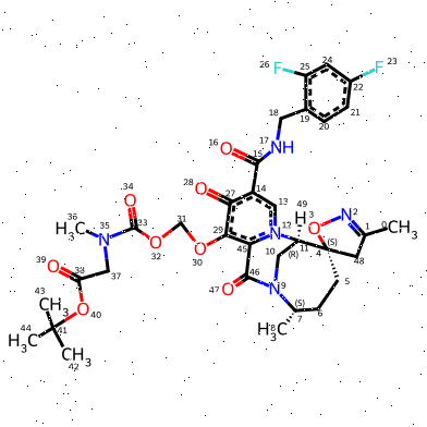 CC1=NO[C@@]2(CC[C@H](C)N3C[C@H]2n2cc(C(=O)NCc4ccc(F)cc4F)c(=O)c(OCOC(=O)N(C)CC(=O)OC(C)(C)C)c2C3=O)C1